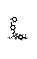 CN(CCC1CCC(CN2CCCCC2)CC1)S(=O)(=O)c1ccc(C(F)(F)F)cc1